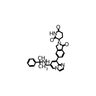 CC(C)(NCc1cc(-c2ccc3c(c2)CN(C2CCC(=O)NC2=O)C3=O)c2nccn2c1)c1ccccc1